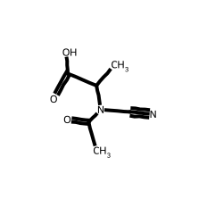 CC(=O)N(C#N)C(C)C(=O)O